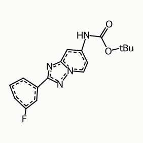 CC(C)(C)OC(=O)Nc1ccn2nc(-c3cccc(F)c3)nc2c1